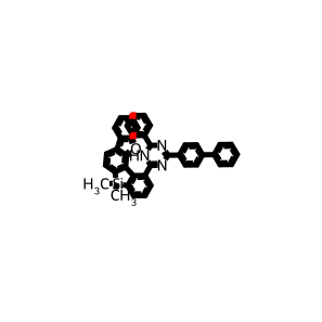 C[Si]1(C)c2cccc(C3=NC(c4ccc(-c5ccccc5)cc4)=NC(c4ccccc4)N3)c2-c2c1ccc1c2oc2ccccc21